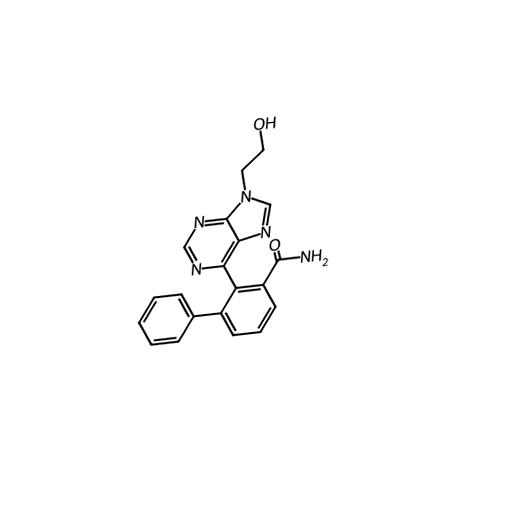 NC(=O)c1cccc(-c2ccccc2)c1-c1ncnc2c1ncn2CCO